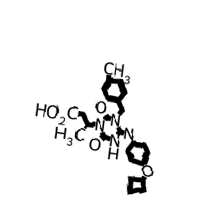 Cc1ccc(Cn2c(=O)n([C@@H](C)CC(=O)O)c(=O)[nH]/c2=N\c2ccc(OC3CCC3)cc2)cc1